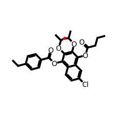 CCCC(=O)Oc1c(OC(C)C)c(OC(C)C)c(OC(=O)c2ccc(CC)cc2)c2ccc(Cl)cc12